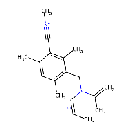 C=C(C)N(/C=C\C)Cc1c(C)cc(C)c(C#[N+]C)c1C